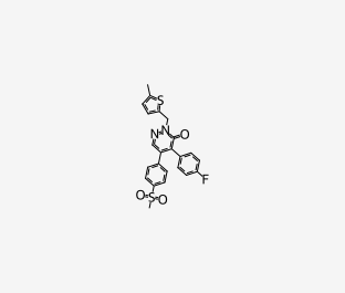 Cc1ccc(Cn2ncc(-c3ccc(S(C)(=O)=O)cc3)c(-c3ccc(F)cc3)c2=O)s1